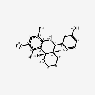 OC1=CC=CC([C@@H]2Nc3c(F)cc(C(F)(F)F)c(F)c3[C@H]3OCCC[C@H]32)C1